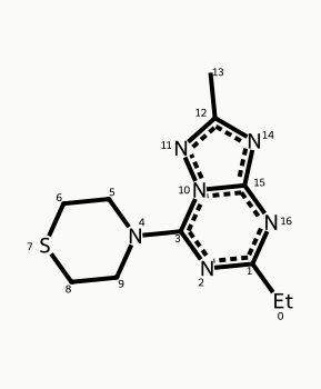 CCc1nc(N2CCSCC2)n2nc(C)nc2n1